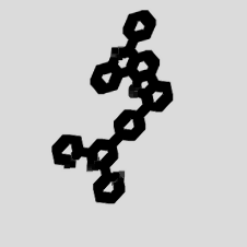 c1ccc(-c2nc3ccccc3c3c2ccc2c4cccc(-c5ccc(-c6cc(-c7ccccn7)nc(-c7ccccn7)c6)cc5)c4oc23)cc1